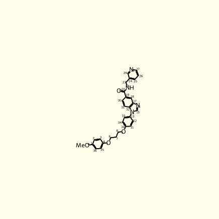 COc1ccc(OCCCOc2ccc(-n3cnc4cc(C(=O)NCc5cccnc5)ccc43)cc2)cc1